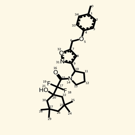 Cc1ccc(OCc2cc(C3CCCN3C(=O)C(F)(F)C3(O)CC(C)(C)CC(C)(C)C3)no2)cc1